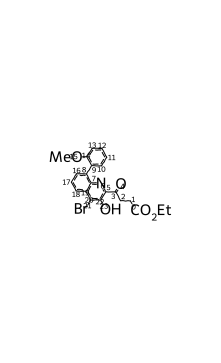 CCOC(=O)CCC(=O)c1nc2c(-c3ccccc3OC)cccc2c(Br)c1O